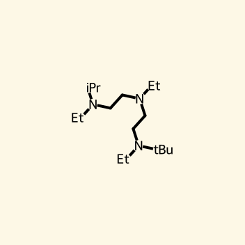 CCN(CCN(CC)C(C)C)CCN(CC)C(C)(C)C